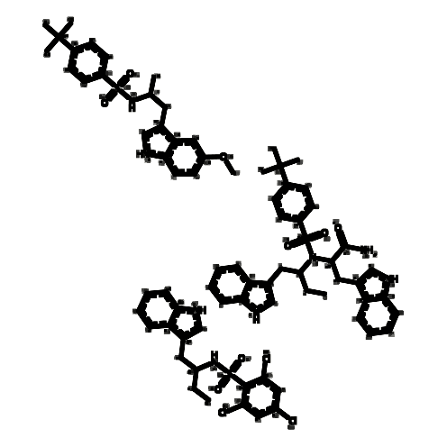 CCC(Cc1c[nH]c2ccccc12)N(C(Cc1c[nH]c2ccccc12)C(N)=O)S(=O)(=O)c1ccc(C(C)(C)C)cc1.CCC(Cc1c[nH]c2ccccc12)NS(=O)(=O)c1c(Cl)cc(Cl)cc1Cl.COc1ccc2[nH]cc(CC(C)NS(=O)(=O)c3ccc(C(C)(C)C)cc3)c2c1